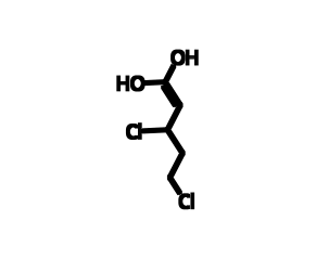 OC(O)=CC(Cl)CCCl